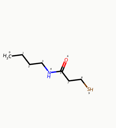 CCCCNC(=O)CCS